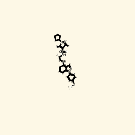 Cc1nn(C2CCCC2)c(C)c1S(=O)(=O)N[C@@H](C)CNc1cccc2c1cnn2-c1ccc(OC(F)(F)F)cc1